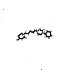 CC1CCN(CCCCCN2CCN(C3CCCCC3)CC2)CC1